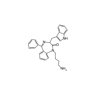 NCCCCN1C(=O)C(Cc2c[nH]c3ccccc23)N=C(c2ccccc2)c2ccccc21